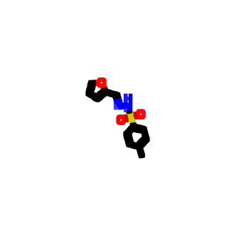 Cc1ccc(S(=O)(=O)NN=Cc2ccco2)cc1